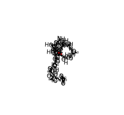 CC[C@H](C)[C@@H]1NC(=O)CNC(=O)C2Cc3c([nH]c4cc(O)ccc34)[S@+]([O-])CC(NC(=O)CNC1=O)C(=O)NC(CC(N)=O)C(=O)N1CC(O)CC1C(=O)N[C@@H]([C@@H](C)[C@@H]1COC(c3ccc(NC(=O)[C@H](C)NC(=O)C(NC(=O)CCN4C(=O)C=CC4=O)C(C)C)cc3)O1)C(=O)N2